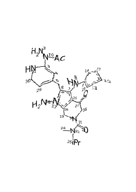 CC(=O)N(N)C1=CC(c2c(Nc3ccccc3)c3c(n2N)CN(C(=O)N(C)C(C)C)CC3=O)=CCN1